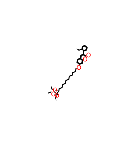 CCO[Si](CCCCCCCCCCCCOc1ccc2cc(-c3ccccc3CC)c(=O)oc2c1)(OCC)OCC